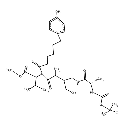 COC(=O)C(C(C)C)N(C(=O)CCCCCc1ccc(O)cc1)C(=O)C(N)C(CO)CNC(=O)[C@H](C)NC(=O)OC(C)(C)C